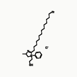 CC(C)CCCCCCCCCCCCCCC1=NC(C)C[N+]1(CCO)c1ccccc1.[Cl-]